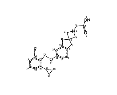 O=C(O)CN1CC2(Cc3ccc(OCc4c(F)cccc4C4CC4)cc3C2)C1